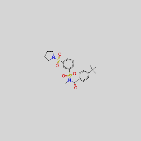 CN(C(=O)c1ccc(C(C)(C)C)cc1)S(=O)(=O)c1cccc(S(=O)(=O)N2CCCC2)c1